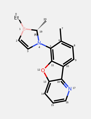 CCB1C=CN(c2c(C)ccc3c2oc2cccnc23)[C@H]1C